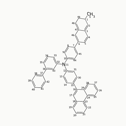 CC1C=c2ccc(-c3ccc(N(c4ccc(-c5cc6ccccc6c6ccccc56)cc4)c4cccc(-c5ccccc5)c4)cc3)cc2=CC1